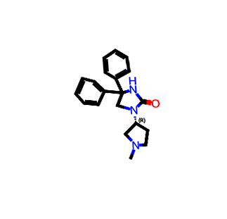 CN1CC[C@@H](N2CC(c3ccccc3)(c3ccccc3)NC2=O)C1